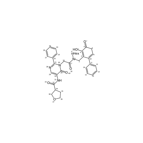 CCCCCCN(CC1=C(O)C(=O)CC=C1c1ccccc1)C(=O)Cn1c(-c2ccccc2)ncc(NC(=O)C2CCOC2)c1=O